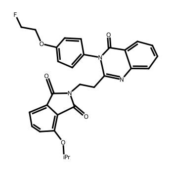 CC(C)Oc1cccc2c1C(=O)N(CCc1nc3ccccc3c(=O)n1-c1ccc(OCCF)cc1)C2=O